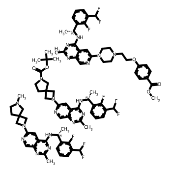 COC(=O)c1ccc(OCCN2CCN(c3cc4c(N[C@H](C)c5cccc(C(F)F)c5F)nc(C)nc4cn3)CC2)cc1.Cc1nc(N[C@H](C)c2cccc(C(F)F)c2F)c2cc(N3CC4(CCN(C(=O)OC(C)(C)C)C4)C3)ncc2n1.Cc1nc(N[C@H](C)c2cccc(C(F)F)c2F)c2cc(N3CC4(CCN(C)C4)C3)ncc2n1